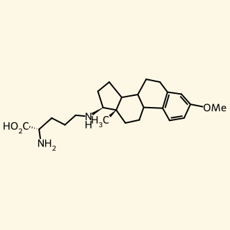 COc1ccc2c(c1)CCC1C2CC[C@@]2(C)C1CC[C@@H]2NCCC[C@H](N)C(=O)O